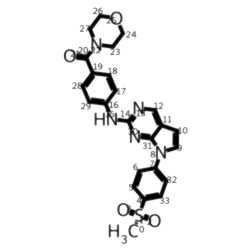 CS(=O)(=O)c1ccc(-n2ccc3cnc(Nc4ccc(C(=O)N5CCOCC5)cc4)nc32)cc1